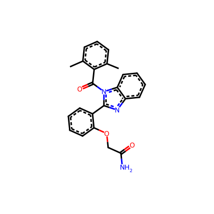 Cc1cccc(C)c1C(=O)n1c(-c2ccccc2OCC(N)=O)nc2ccccc21